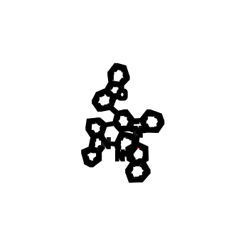 c1ccc(-c2cccc(-n3c4ccccc4c4cccc(-c5cc6c(cc5-c5cccc7c5oc5ccccc57)c5ccccc5n6-c5ccccc5)c43)n2)cc1